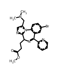 COC(=O)CCC1N=C(c2ccccn2)c2cc(Br)ccc2-n2c(CN(C)C)cnc21